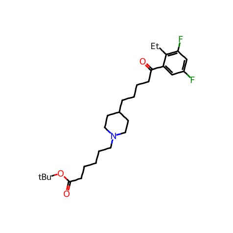 CCc1c(F)cc(F)cc1C(=O)CCCCC1CCN(CCCCCC(=O)OC(C)(C)C)CC1